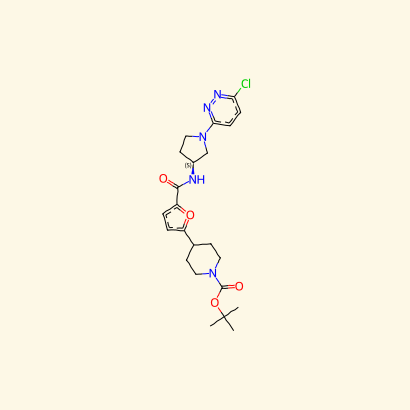 CC(C)(C)OC(=O)N1CCC(c2ccc(C(=O)N[C@H]3CCN(c4ccc(Cl)nn4)C3)o2)CC1